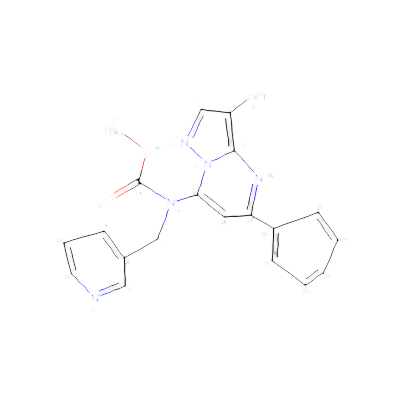 CCCc1cnn2c(N(Cc3cccnc3)C(=O)OC(C)(C)C)cc(-c3ccccc3)nc12